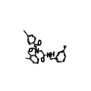 Cc1ccc(S(=O)(=O)N(CC(=O)NCc2cccc(F)c2)c2cccc(C)c2C)cc1